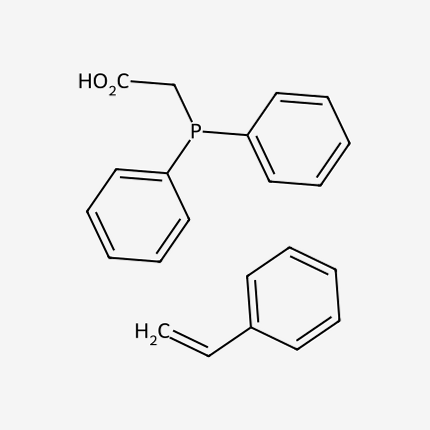 C=Cc1ccccc1.O=C(O)CP(c1ccccc1)c1ccccc1